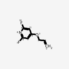 C=CCOc1cc(F)nc(F)c1